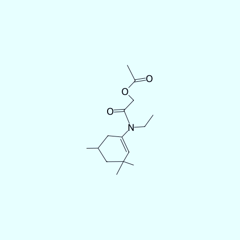 CCN(C(=O)COC(C)=O)C1=CC(C)(C)CC(C)C1